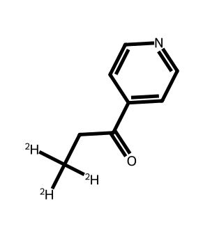 [2H]C([2H])([2H])CC(=O)c1ccncc1